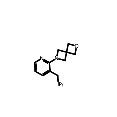 CC(C)Cc1cccnc1N1CC2(COC2)C1